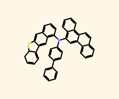 C1=CCC2Sc3cc4cccc(N(c5ccc(-c6ccccc6)cc5)c5cc6c7ccccc7ccc6c6ccccc56)c4cc3C2=C1